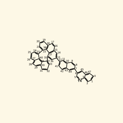 c1ccc2ncc(-c3ccc4cc(-c5cc6ccc7cccc8c9cccc%10ccc%11cccc(c(c5)c6c78)c%11c%109)ccc4c3)cc2c1